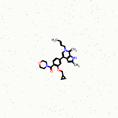 C=C1c2[nH]c(C)cc2C(c2ccc(C(=O)N3CCOCC3)c(OCC3CC3)c2)=CN1C/C=C/C